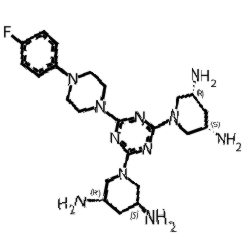 N[C@@H]1C[C@H](N)CN(c2nc(N3CCN(c4ccc(F)cc4)CC3)nc(N3C[C@H](N)C[C@H](N)C3)n2)C1